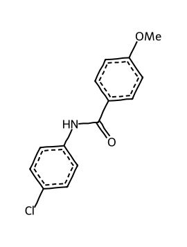 COc1ccc(C(=O)Nc2ccc(Cl)cc2)cc1